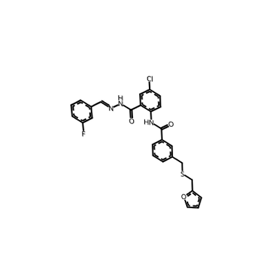 O=C(Nc1ccc(Cl)cc1C(=O)N/N=C/c1cccc(F)c1)c1cccc(CSCc2ccco2)c1